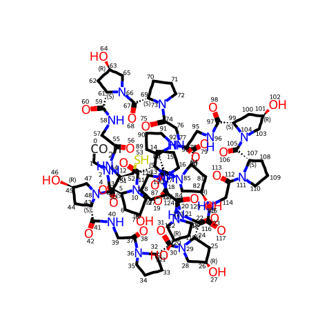 O=C(O)CNC(=O)[C@@H]1C[C@@H](O)CN1C(=O)[C@@H]1CCCN1C(=O)CNC(=O)[C@@H]1C[C@@H](O)CN1C(=O)[C@@H]1CCCN1C(=O)CNC(=O)[C@@H]1C[C@@H](O)CN1C(=O)[C@H](CS)NC(=O)CNC(=O)[C@@H]1C[C@@H](O)CN1C(=O)[C@@H]1CCCN1C(=O)CNC(=O)[C@@H]1C[C@@H](O)CN1C(=O)[C@@H]1CCCN1C(=O)CNC(=O)[C@@H]1C[C@@H](O)CN1C(=O)[C@@H]1CCCN1C(=O)CNC(=O)[C@@H]1C[C@@H](O)CN1C(=O)[C@@H]1CCCN1